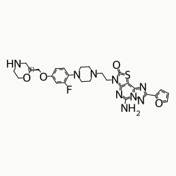 Nc1nc2c(sc(=O)n2CCN2CCN(c3ccc(OC[C@@H]4CNCCO4)cc3F)CC2)c2nc(-c3ccco3)nn12